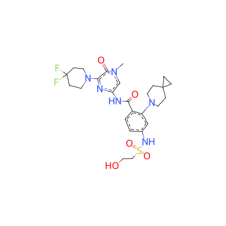 Cn1cc(NC(=O)c2ccc(NS(=O)(=O)CCO)cc2N2CCC3(CC2)CC3)nc(N2CCC(F)(F)CC2)c1=O